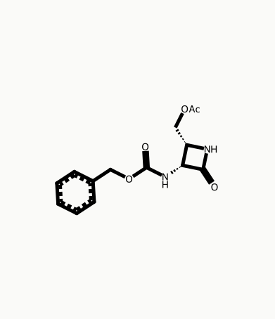 CC(=O)OC[C@@H]1NC(=O)[C@@H]1NC(=O)OCc1ccccc1